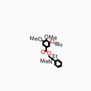 CCC(C)Oc1cc(C(=O)OCC(CC)(NC)c2ccccc2)cc(OC)c1OC